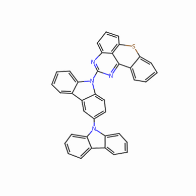 c1ccc2c(c1)Sc1cccc3nc(-n4c5ccccc5c5cc(-n6c7ccccc7c7ccccc76)ccc54)nc-2c13